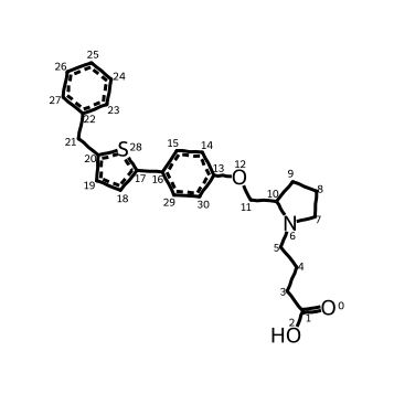 O=C(O)CCCN1CCCC1COc1ccc(-c2ccc(Cc3ccccc3)s2)cc1